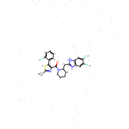 Cc1nc(C(=O)N2CCCCC2Cc2nc3cc(F)c(F)cc3[nH]2)c(-c2ccccc2F)s1